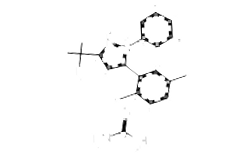 Cc1ccc(C)c(-c2cc(C(F)(F)F)nn2-c2ccccc2)c1.NC(=O)O